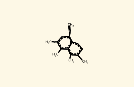 C=Cc1cc(C)c(C)c2c(C)c(C)ccc12